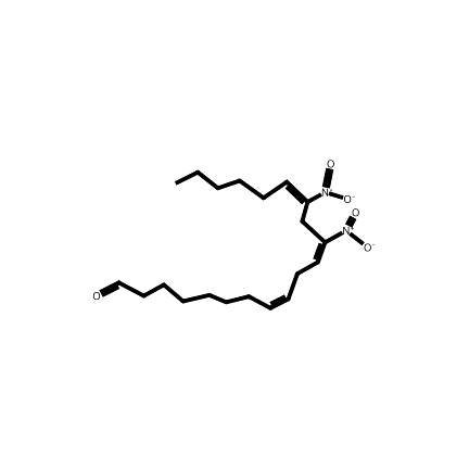 CCCCC/C=C(\C/C(=C\C/C=C\CCCCCC[C]=O)[N+](=O)[O-])[N+](=O)[O-]